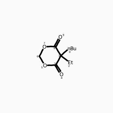 CCCCC1(CC)C(=O)OCOC1=O